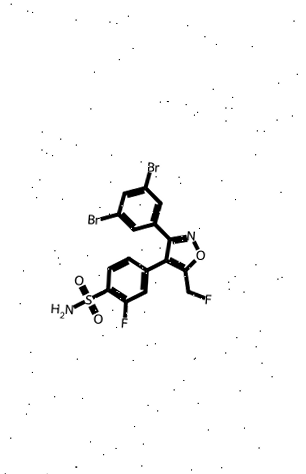 NS(=O)(=O)c1ccc(-c2c(-c3cc(Br)cc(Br)c3)noc2CF)cc1F